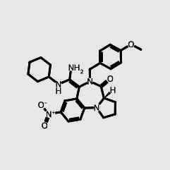 COc1ccc(CN2C(=O)[C@@H]3CCCN3c3ccc([N+](=O)[O-])cc3/C2=C(/N)NC2CCCCC2)cc1